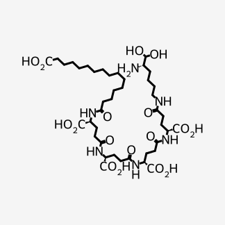 N[C@@H](CCCCNC(=O)CC[C@H](NC(=O)CC[C@H](NC(=O)CC[C@H](NC(=O)CC[C@H](NC(=O)CCCCCCCCCCCCCCC(=O)O)C(=O)O)C(=O)O)C(=O)O)C(=O)O)C(O)O